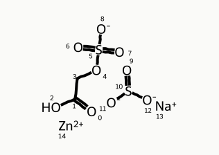 O=C(O)COS(=O)(=O)[O-].O=S([O-])[O-].[Na+].[Zn+2]